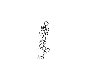 COc1cc2c(Oc3ccc(NC(=O)c4c(C)n(C)n(-c5ccccc5)c4=O)cc3F)ccnc2cc1OCCO